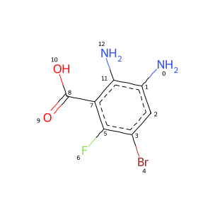 Nc1cc(Br)c(F)c(C(=O)O)c1N